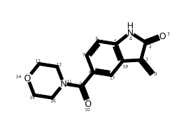 C=C1C(=O)Nc2ccc(C(=O)N3CCOCC3)cc21